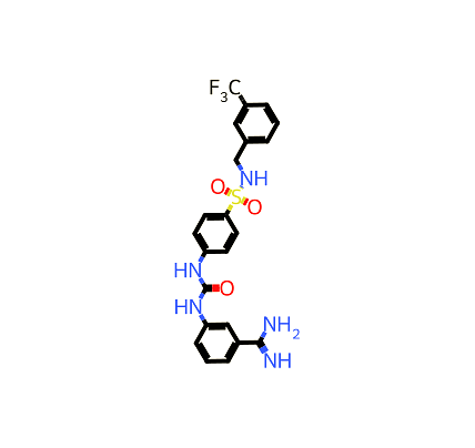 N=C(N)c1cccc(NC(=O)Nc2ccc(S(=O)(=O)NCc3cccc(C(F)(F)F)c3)cc2)c1